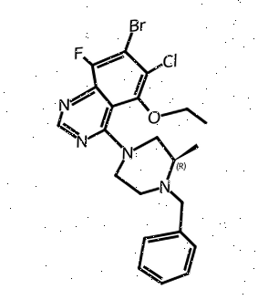 CCOc1c(Cl)c(Br)c(F)c2ncnc(N3CCN(Cc4ccccc4)[C@H](C)C3)c12